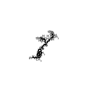 CC(C)CCCC(C)[C@H]1CC[C@H]2[C@@H]3CC=C4C[C@@H](OC(=O)CCCC(=O)N(CCCCNCCC(C)(C)NC(=O)OC(C)(C)C)CCC(C)(C)NC(=O)OC(C)(C)C)CC[C@]4(C)[C@H]3CC[C@]12C